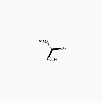 CO[C@@H](C(=O)O)C(C)C